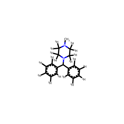 [2H]c1c([2H])c([2H])c(C(c2c([2H])c([2H])c([2H])c([2H])c2[2H])N2C([2H])([2H])C([2H])([2H])N(C)C([2H])([2H])C2([2H])[2H])c([2H])c1[2H]